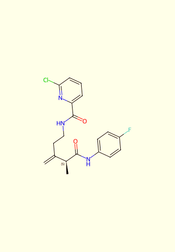 C=C(CCNC(=O)c1cccc(Cl)n1)[C@H](C)C(=O)Nc1ccc(F)cc1